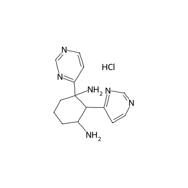 Cl.NC1CCCC(N)(c2ccncn2)C1c1ccncn1